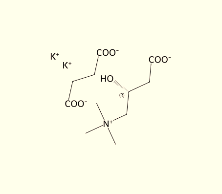 C[N+](C)(C)C[C@H](O)CC(=O)[O-].O=C([O-])CCC(=O)[O-].[K+].[K+]